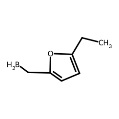 BCc1ccc(CC)o1